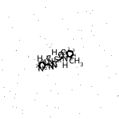 Cc1cccc(C)c1NC(=O)CSc1nnc(-c2cccnc2)n1C